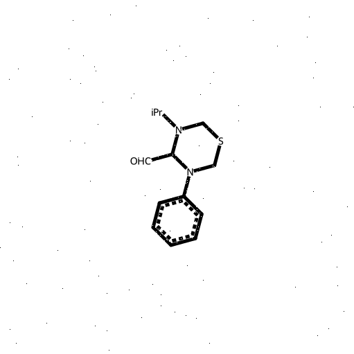 CC(C)N1CSCN(c2ccccc2)C1C=O